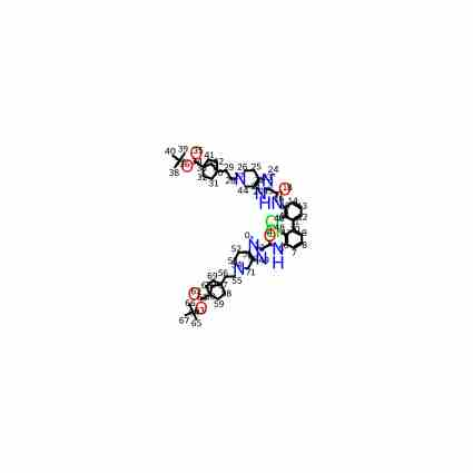 Cn1c(C(=O)Nc2cccc(-c3cccc(NC(=O)c4nc5c(n4C)CCN(CCC46CCC(C(=O)OC(C)(C)C)(CC4)C6)C5)c3Cl)c2Cl)nc2c1CCN(CCC13CCC(C(=O)OC(C)(C)C)(CC1)C3)C2